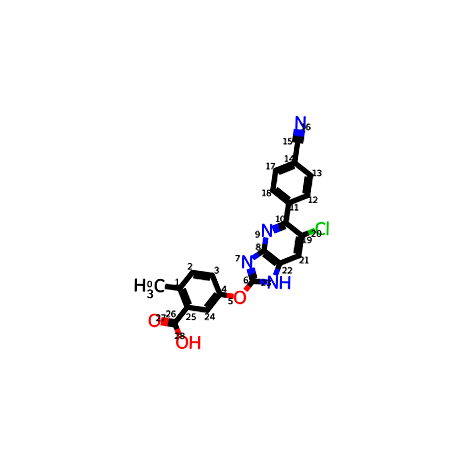 Cc1ccc(Oc2nc3nc(-c4ccc(C#N)cc4)c(Cl)cc3[nH]2)cc1C(=O)O